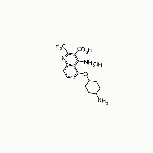 Cc1nc2cccc(OC3CCC(N)CC3)c2c(N)c1C(=O)O.Cl